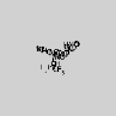 CN1CCN(C2CCN(C(=O)[C@@H](Cc3ccc(C(F)(F)F)c(C(F)(F)F)c3)NC(=O)ON3CCC(N4CCc5ccccc5NC4=O)CC3)CC2)CC1